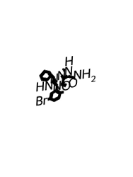 Cc1ccc(Br)cc1N(C(=O)c1nc[nH]c1C(N)=O)c1nc2ccccc2[nH]1